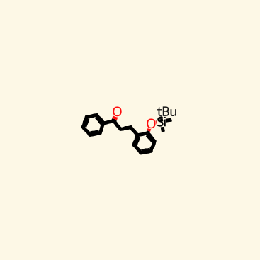 CC(C)(C)[Si](C)(C)Oc1ccccc1CCC(=O)c1ccccc1